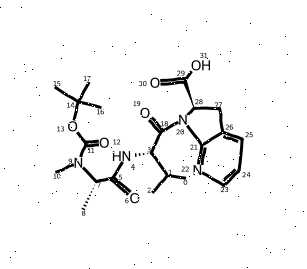 CC(C)[C@H](NC(=O)[C@H](C)N(C)C(=O)OC(C)(C)C)C(=O)N1c2ncccc2C[C@@H]1C(=O)O